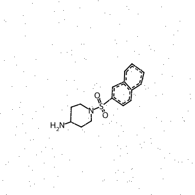 NC1CCN(S(=O)(=O)c2ccc3ccccc3c2)CC1